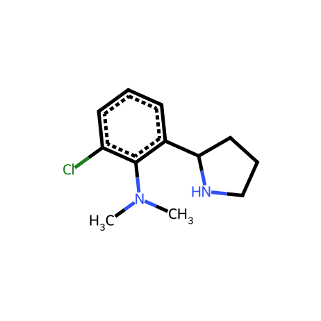 CN(C)c1c(Cl)cccc1C1CCCN1